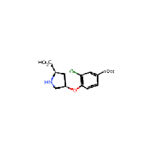 CCCCCCCCc1ccc(O[C@H]2CN[C@@H](C(=O)O)C2)c(Cl)c1